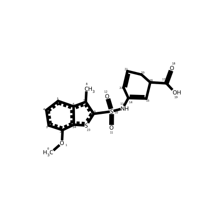 COc1cccc2c(C)c(S(=O)(=O)NC3=CC(C(=O)O)CC=C3)sc12